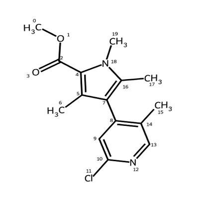 COC(=O)c1c(C)c(-c2cc(Cl)ncc2C)c(C)n1C